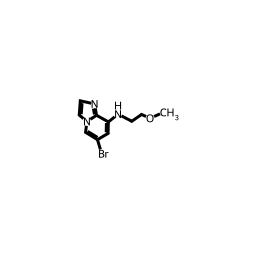 COCCNc1cc(Br)cn2ccnc12